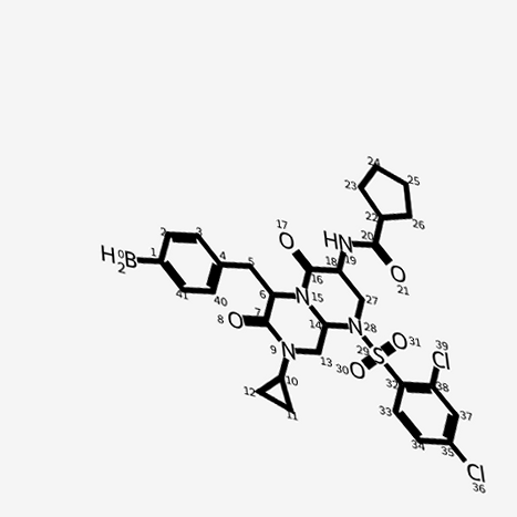 Bc1ccc(CC2C(=O)N(C3CC3)CC3N2C(=O)C(NC(=O)C2CCCC2)CN3S(=O)(=O)c2ccc(Cl)cc2Cl)cc1